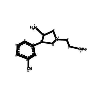 COCCN1CC(N)C(c2cccc(C#N)c2)C1